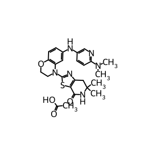 CC(=O)O.CN(C)c1ccc(Nc2ccc3c(c2)N(c2nc4c(s2)C(=O)NC(C)(C)C4)CCO3)cn1